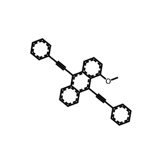 COc1cccc2c(C#Cc3ccccc3)c3ccccc3c(C#Cc3ccccc3)c12